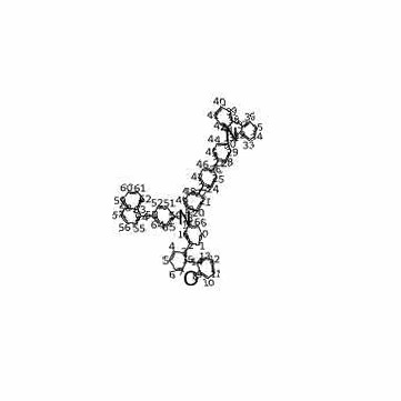 c1cc(-c2cccc3oc4ccccc4c23)cc(N(c2ccc(-c3ccc(-c4ccc(-n5c6ccccc6c6ccccc65)cc4)cc3)cc2)c2ccc(-c3cccc4ccccc34)cc2)c1